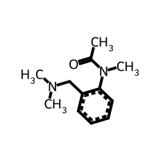 CC(=O)N(C)c1ccccc1CN(C)C